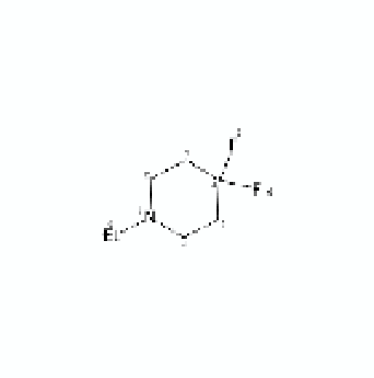 C[CH]N1CCC(F)(F)CC1